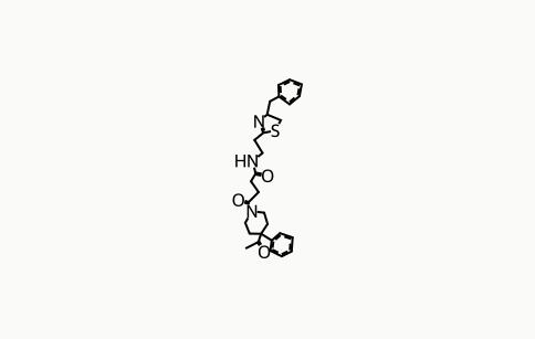 CC(=O)C1(c2ccccc2)CCN(C(=O)CCC(=O)NCCC2=NC(Cc3ccccc3)CS2)CC1